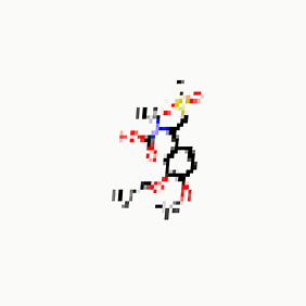 CCOc1cc(C(CS(C)(=O)=O)N(C)C(=O)O)ccc1OC